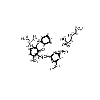 CCNc1nc(Cl)nc(NCC)n1.C[S+](C)C.Nc1c([N+](=O)[O-])ccc(Oc2ccccc2)c1Cl.O=C(O)CNCP(=O)([O-])O